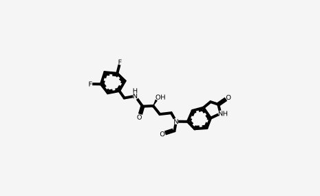 O=CN(CC[C@H](O)C(=O)NCc1cc(F)cc(F)c1)c1ccc2c(c1)CC(=O)N2